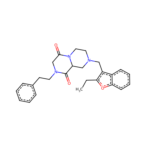 CCc1oc2ccccc2c1CN1CCN2C(=O)CN(CCc3ccccc3)C(=O)C2C1